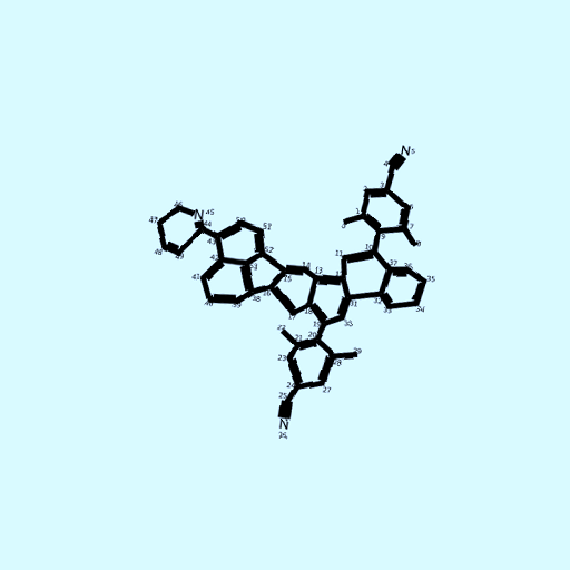 Cc1cc(C#N)cc(C)c1-c1cc2c3cc4c(cc3c(-c3c(C)cc(C#N)cc3C)cc2c2ccccc12)-c1cccc2c(C3=NCCC=C3)ccc-4c12